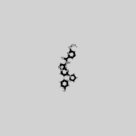 COc1cccc(C(=O)Nc2cnn3ccc(N4CCC[C@@H]4c4cccc(F)c4)nc23)n1